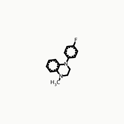 CN1CCN(c2ccc(F)cc2)c2ccccc21